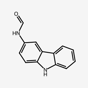 O=CNc1ccc2[nH]c3ccccc3c2c1